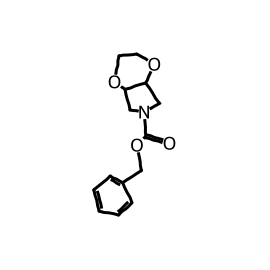 O=C(OCc1ccccc1)N1CC2OCCOC2C1